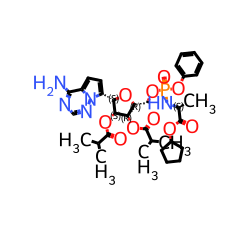 CC(C)C(=O)O[C@@H]1[C@H](OC(=O)C(C)C)[C@@H](COP(=O)(N[C@@H](C)C(=O)OC2CCCC2)Oc2ccccc2)O[C@H]1c1ccc2c(N)ncnn12